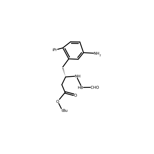 CC(C)c1ccc(N)cc1C[C@@H](CC(=O)OC(C)(C)C)NBC=O